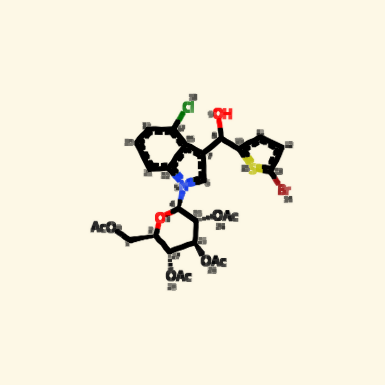 CC(=O)OC[C@H]1O[C@@H](n2cc(C(O)c3ccc(Br)s3)c3c(Cl)cccc32)[C@H](OC(C)=O)[C@@H](OC(C)=O)[C@@H]1OC(C)=O